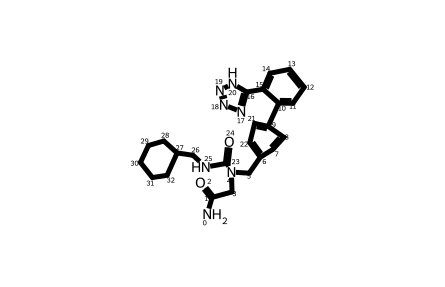 NC(=O)CN(Cc1ccc(-c2ccccc2-c2nnn[nH]2)cc1)C(=O)NCC1CCCCC1